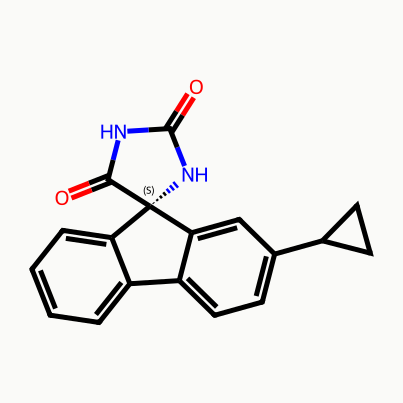 O=C1NC(=O)[C@]2(N1)c1ccccc1-c1ccc(C3CC3)cc12